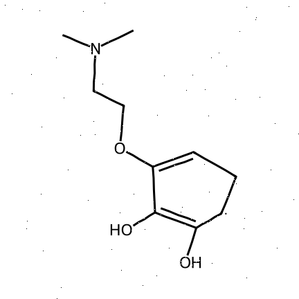 CN(C)CCOC1=CC[CH]C(O)=C1O